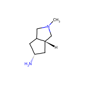 CN1CC2C[C@@H](N)C[C@H]2C1